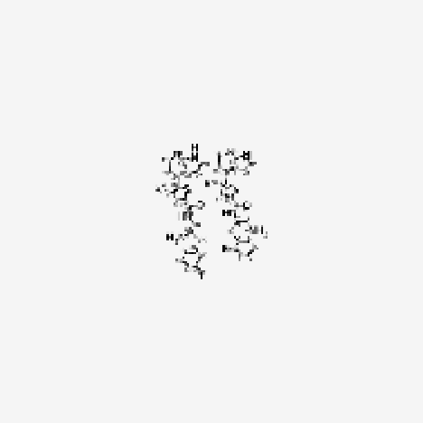 NC[C@@H](Cc1ccccc1F)NC(=O)c1cc(Br)c(-c2ccnc3[nH]ccc23)s1.N[C@@H](CNC(=O)c1cc(Br)c(-c2ccnc3[nH]ccc23)s1)Cc1cccc(F)c1